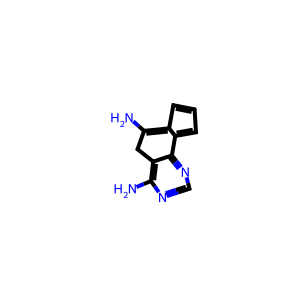 NC1=C2C=CC=C2c2ncnc(N)c2C1